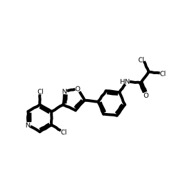 O=C(Nc1cccc(-c2cc(-c3c(Cl)cncc3Cl)no2)c1)C(Cl)Cl